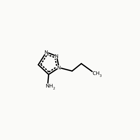 CCCn1nncc1N